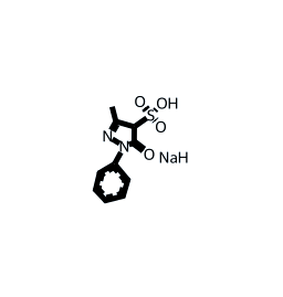 CC1=NN(c2ccccc2)C(=O)C1S(=O)(=O)O.[NaH]